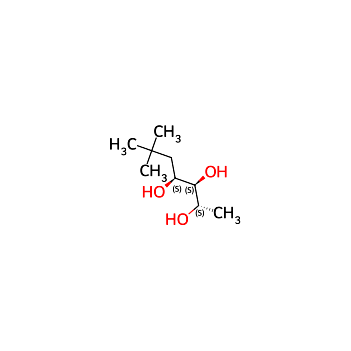 C[C@H](O)[C@H](O)[C@@H](O)CC(C)(C)C